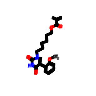 C=C(C)C(=O)OCCCCCCn1cc(-c2ccccc2OC(F)(F)F)c(=O)[nH]c1=O